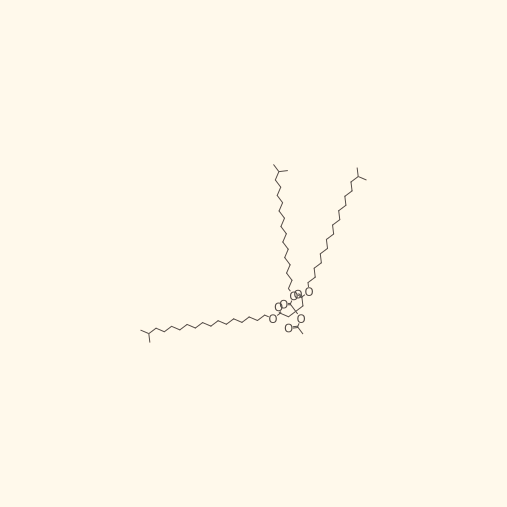 CC(=O)OC(CC(=O)OCCCCCCCCCCCCCCCC(C)C)(CC(=O)OCCCCCCCCCCCCCCCC(C)C)C(=O)OCCCCCCCCCCCCCCCC(C)C